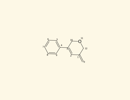 C=C1C=C(c2ccccc2)COC1